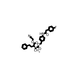 CN(C(=O)OCc1ccc(NC(=O)Cc2ccc(F)cc2)cc1)C(CCc1ccccc1)C(=O)OCC#N